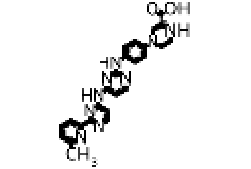 Cc1cccc(-c2nccc(Nc3ccnc(Nc4ccc(N5CCN[C@H](C(=O)O)C5)cc4)n3)n2)n1